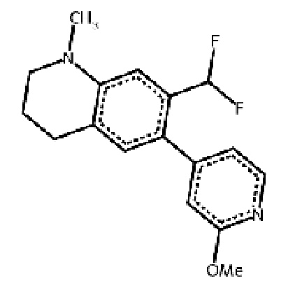 COc1cc(-c2cc3c(cc2C(F)F)N(C)CCC3)ccn1